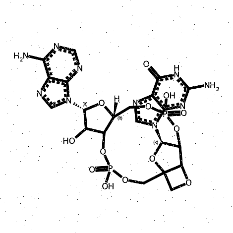 Nc1nc2c(ncn2[C@@H]2OC34COC3C2OP(=O)(O)OC[C@H]2O[C@@H](n3cnc5c(N)ncnc53)C(O)C2OP(=O)(O)OC4)c(=O)[nH]1